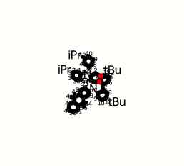 Cc1cc2c3c(c1)N(c1ccc(C(C)(C)C)cc1-c1ccc(C(C)(C)C)cc1)c1cc4c(cc1B3c1ccc(C(C)C)cc1N2c1cccc(C(C)C)c1)C(C)(C)c1ccccc1C4(C)C